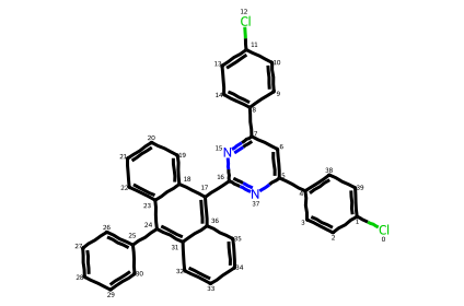 Clc1ccc(-c2cc(-c3ccc(Cl)cc3)nc(-c3c4ccccc4c(-c4ccccc4)c4ccccc34)n2)cc1